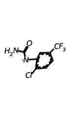 NC(=O)[N]c1cc(C(F)(F)F)ccc1Cl